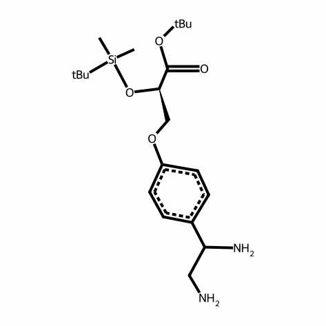 CC(C)(C)OC(=O)[C@@H](COc1ccc(C(N)CN)cc1)O[Si](C)(C)C(C)(C)C